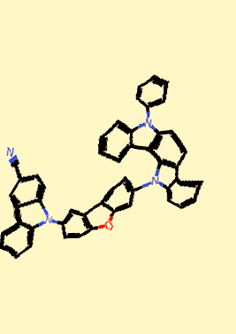 N#Cc1ccc2c(c1)c1ccccc1n2-c1ccc2oc3cc(-n4c5ccccc5c5ccc6c(c7ccccc7n6-c6ccccc6)c54)ccc3c2c1